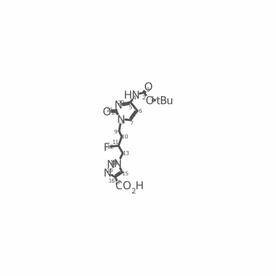 CC(C)(C)OC(=O)Nc1ccn(CCC(F)Cn2cc(C(=O)O)nn2)c(=O)n1